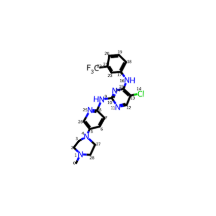 CN1CCN(c2ccc(Nc3ncc(Cl)c(Nc4cccc(C(F)(F)F)c4)n3)nc2)CC1